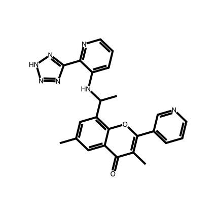 Cc1cc(C(C)Nc2cccnc2-c2nn[nH]n2)c2oc(-c3cccnc3)c(C)c(=O)c2c1